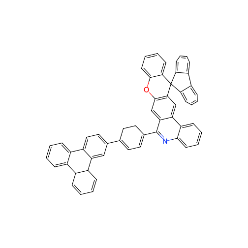 C1=CC2c3ccccc3-c3ccc(C4=CC=C(c5nc6ccccc6c6cc7c(cc56)Oc5ccccc5C75c6ccccc6-c6ccccc65)CC4)cc3C2C=C1